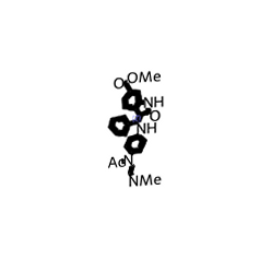 CNCCN(C(C)=O)c1ccc(N/C(=C2\C(=O)Nc3cc(C(=O)OC)ccc32)c2ccccc2)cc1